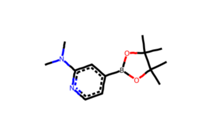 CN(C)c1cc(B2OC(C)(C)C(C)(C)O2)ccn1